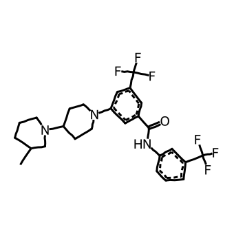 CC1CCCN(C2CCN(c3cc(C(=O)Nc4cccc(C(F)(F)F)c4)cc(C(F)(F)F)c3)CC2)C1